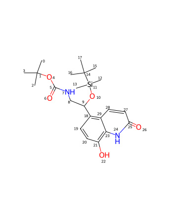 CC(C)(C)OC(=O)NCC(O[Si](C)(C)C(C)(C)C)c1ccc(O)c2[nH]c(=O)ccc12